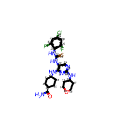 NC(=O)[C@H]1CC[C@@H](Nc2nc(NC3CCOCC3)ncc2NC(=S)Nc2c(F)cc(Cl)cc2F)CC1